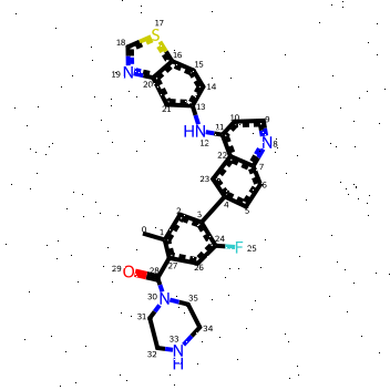 Cc1cc(-c2ccc3nccc(Nc4ccc5scnc5c4)c3c2)c(F)cc1C(=O)N1CCNCC1